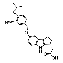 CC(C)Oc1ccc(COc2ccc3[nH]c4c(c3c2)CC[C@@H]4CC(=O)O)cc1C#N